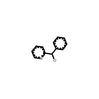 ClC(c1ccccc1)c1ccccn1